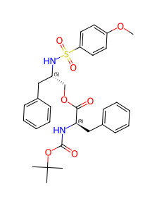 COc1ccc(S(=O)(=O)N[C@H](COC(=O)[C@@H](Cc2ccccc2)NC(=O)OC(C)(C)C)Cc2ccccc2)cc1